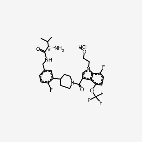 COCCn1cc(C(=O)N2CCC(c3cc(CNC(=O)[C@@H](N)C(C)C)ccc3F)CC2)c2c(OC(F)(F)F)ccc(F)c21.Cl